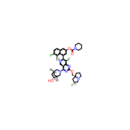 CCc1c(F)ccc2cc(OC(=O)N3CCCCC3)cc(-c3ncc4c(N5C[C@@H]6C[C@H](C5)[C@H](O)C6)nc(OC[C@@]56CCCN5C[C@H](F)C6)nc4c3F)c12